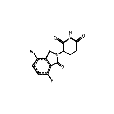 O=C1CCC(N2Cc3c(Br)ccc(F)c3C2=O)C(=O)N1